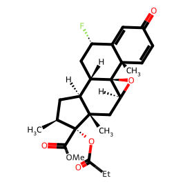 CCC(=O)O[C@]1(C(=O)OC)[C@@H](C)C[C@H]2[C@@H]3C[C@H](F)C4=CC(=O)C=C[C@]4(C)[C@@]34O[C@H]4C[C@@]21C